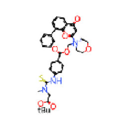 CN(CC(=O)OC(C)(C)C)C(=S)Nc1ccc(C(=O)OC[N+]2(c3cc(=O)c4cccc(-c5ccccc5)c4o3)CCOCC2)cc1